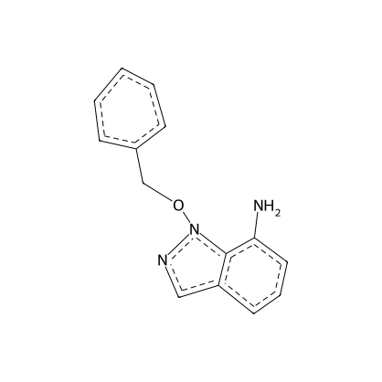 Nc1cccc2cnn(OCc3ccccc3)c12